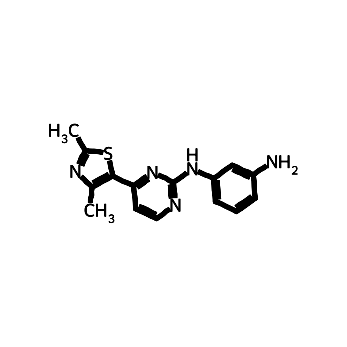 Cc1nc(C)c(-c2ccnc(Nc3cccc(N)c3)n2)s1